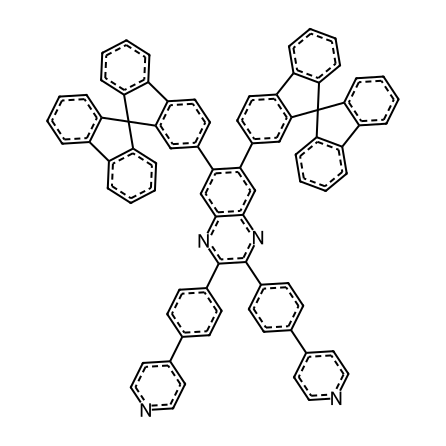 c1ccc2c(c1)-c1ccccc1C21c2ccccc2-c2ccc(-c3cc4nc(-c5ccc(-c6ccncc6)cc5)c(-c5ccc(-c6ccncc6)cc5)nc4cc3-c3ccc4c(c3)C3(c5ccccc5-c5ccccc53)c3ccccc3-4)cc21